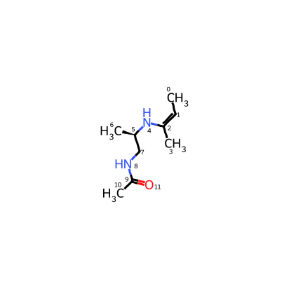 C/C=C(/C)N[C@H](C)CNC(C)=O